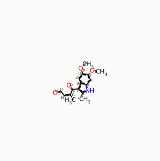 COc1cc2[nH]c(C)c(C(=O)/C(C)=C\C=O)c2cc1OC